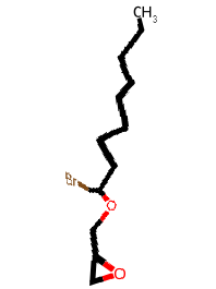 CCCCCCCCC(Br)OCC1CO1